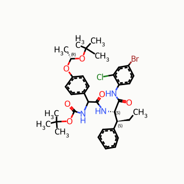 CC[C@@H](c1ccccc1)[C@H](NC(=O)C(NC(=O)OC(C)(C)C)c1ccc(O[C@H](C)OC(C)(C)C)cc1)C(=O)Nc1ccc(Br)cc1Cl